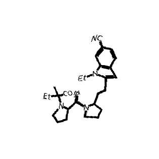 CCn1c(CCC2CCCN2C(=O)C2CCCN2C(C)(CC)C(=O)O)cc2ccc(C#N)cc21